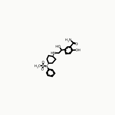 CS(=O)(=O)N(c1ccccc1)[C@H]1CC[C@H](NCC(O)c2ccc(O)c(C(N)=O)c2)CC1